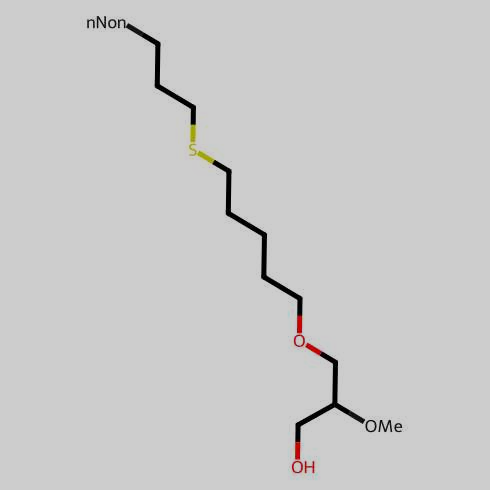 CCCCCCCCCCCCSCCCCCOCC(CO)OC